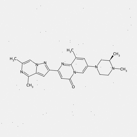 Cc1cn2nc(-c3cc(=O)n4cc(N5CCN(C)[C@H](C)C5)cc(C)c4n3)cc2c(C)n1